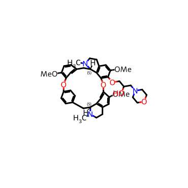 COc1ccc2cc1Oc1ccc(cc1)C[C@H]1c3cc(c(OC)cc3CCN1C)Oc1c(OCC(O)CN3CCOCC3)c(OC)cc3c1[C@H](C2)N(C)CC3